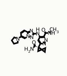 CNC(=O)c1nnc([C@]2(C(N)=O)CC23CC3)cc1Nc1nc2ccc(N3CCCC3)cn2n1